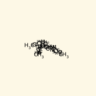 CC[C@H](CC[C@@]1(COC)CCC[C@@H]2[C@@H]1CC[C@]1(C)[C@@H](C(=O)Cn3nc4ccc(OC)cc4n3)CC[C@@H]21)C(F)(F)F